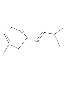 CC1=CCO[C@H](/C=C/C(C)C)C1